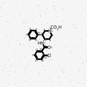 O=C(N[C@H]1CCN(C(=O)O)C[C@@H]1c1ccccc1)c1ccccc1Cl